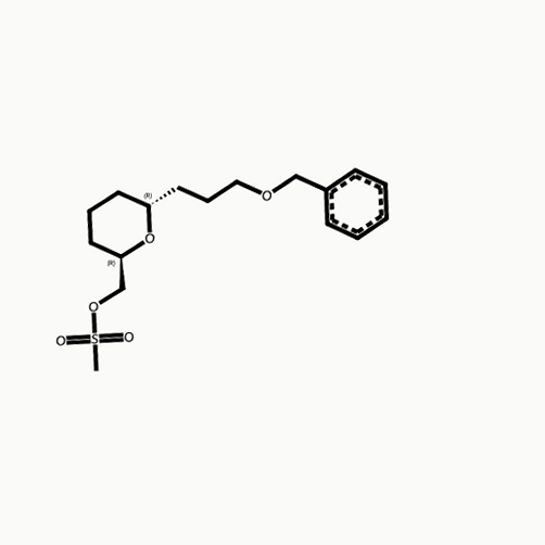 CS(=O)(=O)OC[C@H]1CCC[C@H](CCCOCc2ccccc2)O1